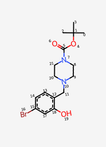 CC(C)(C)OC(=O)N1CCN(Cc2ccc(Br)cc2O)CC1